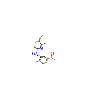 C=C(/N=C(C)\C(C)=C/C)Nc1cc(C(C)=O)ccc1C